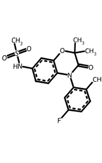 Cc1ccc(F)cc1N1C(=O)C(C)(C)Oc2cc(NS(C)(=O)=O)ccc21